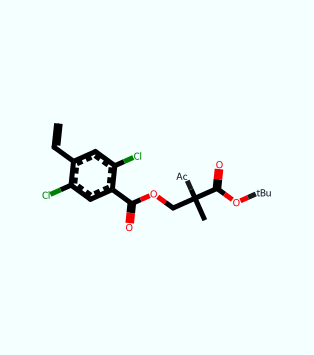 C=Cc1cc(Cl)c(C(=O)OCC(C)(C(C)=O)C(=O)OC(C)(C)C)cc1Cl